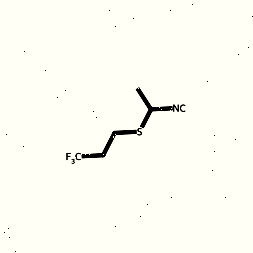 [C-]#[N+]C(C)SCCC(F)(F)F